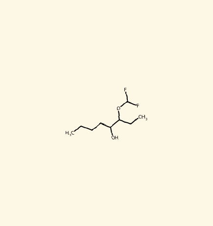 CCCCC(O)C(CC)OC(F)F